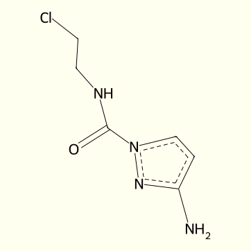 Nc1ccn(C(=O)NCCCl)n1